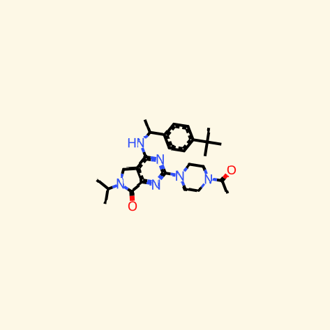 CC(=O)N1CCN(c2nc(NC(C)c3ccc(C(C)(C)C)cc3)c3c(n2)C(=O)N(C(C)C)C3)CC1